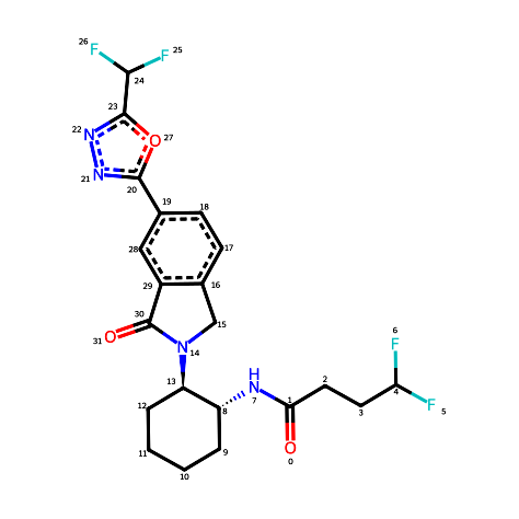 O=C(CCC(F)F)N[C@@H]1CCCC[C@H]1N1Cc2ccc(-c3nnc(C(F)F)o3)cc2C1=O